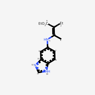 CCOC(=O)/C(CC)=C(/C)Nc1ccc2[nH]cnc2c1